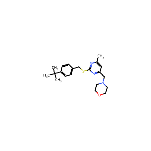 Cc1cc(CN2CCOCC2)nc(SCc2ccc(C(C)(C)C)cc2)n1